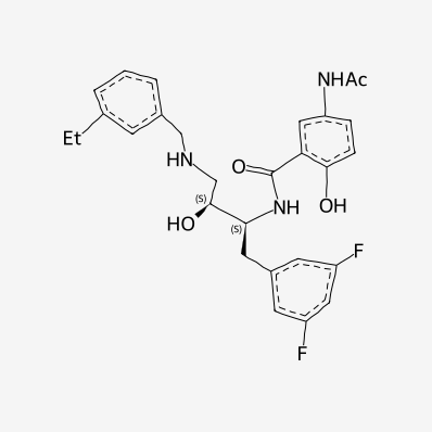 CCc1cccc(CNC[C@H](O)[C@H](Cc2cc(F)cc(F)c2)NC(=O)c2cc(NC(C)=O)ccc2O)c1